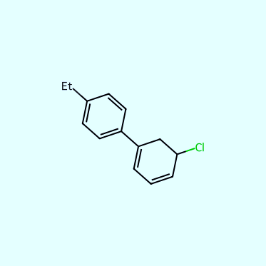 CCc1ccc(C2=CC=CC(Cl)C2)cc1